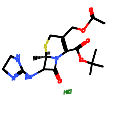 CC(=O)OCC1=C(C(=O)OC(C)(C)C)N2C(=O)C(NC3=NCCN3)[C@H]2SC1.Cl